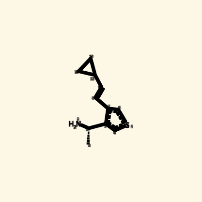 C[C@H](N)c1cscc1/C=C/C1CC1